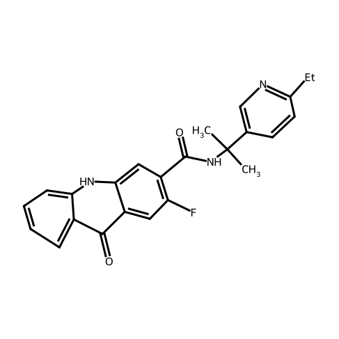 CCc1ccc(C(C)(C)NC(=O)c2cc3[nH]c4ccccc4c(=O)c3cc2F)cn1